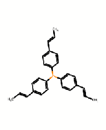 CC=Cc1ccc(P(c2ccc(C=CC)cc2)c2ccc(C=CC)cc2)cc1